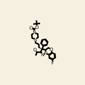 CC(=O)C1=NN2c3cc(F)ccc3OCC2[C@@]1(CCCN1CCN(C(=O)OC(C)(C)C)CC1)c1ccccc1